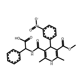 COC(=O)C1=C(C)NC(C)=C(C(=O)NC(C(=O)O)c2ccccc2)C1c1cccc([N+](=O)[O-])c1